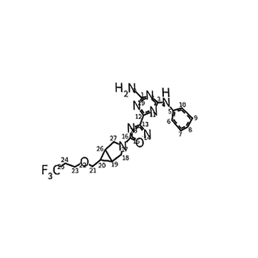 Nc1nc(Nc2ccccc2)nc(-c2noc(N3CC4C(COCCC(F)(F)F)C4C3)n2)n1